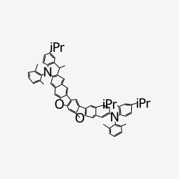 Cc1cccc(C)c1N(c1ccc2cc3c(cc2c1)oc1cc2oc4cc5cc6c(cc5cc4c2cc13)C(C)c1cc(C(C)C)ccc1N6c1c(C)cccc1C)c1ccc(C(C)C)cc1C(C)C